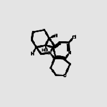 OC1(c2ccnc(Cl)c2)[C@@H]2CCC[C@H]1CN(C1CCOCC1)C2